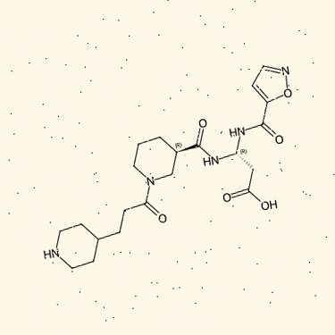 O=C(O)C[C@@H](NC(=O)c1ccno1)NC(=O)[C@@H]1CCCN(C(=O)CCC2CCNCC2)C1